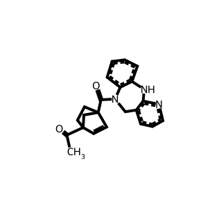 CC(=O)C12C=CC(C(=O)N3Cc4cccnc4Nc4ccccc43)(CC1)C2